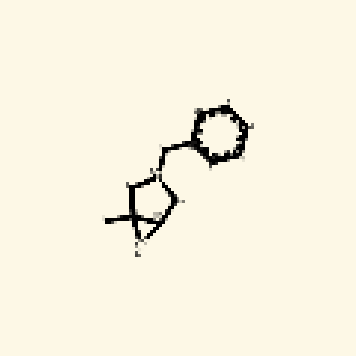 CC12CN(Cc3ccccc3)CC1O2